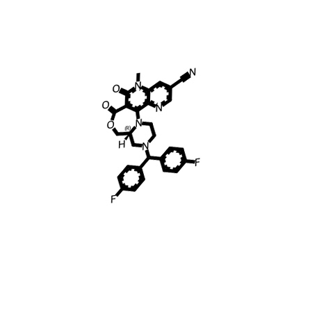 Cn1c(=O)c2c(c3ncc(C#N)cc31)N1CCN(C(c3ccc(F)cc3)c3ccc(F)cc3)C[C@@H]1COC2=O